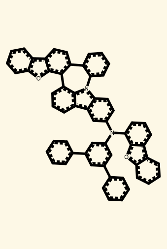 c1ccc(-c2cc(-c3ccccc3)cc(N(c3ccc4c(c3)c3cccc5c3n4-c3ccccc3-c3ccc4c(oc6ccccc64)c3-5)c3cccc4c3oc3ccccc34)c2)cc1